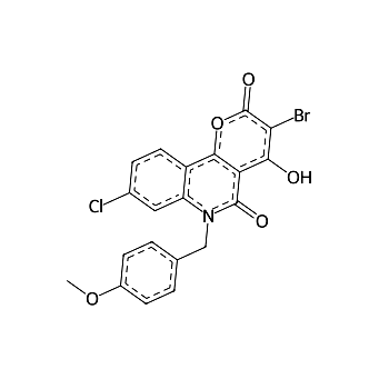 COc1ccc(Cn2c(=O)c3c(O)c(Br)c(=O)oc3c3ccc(Cl)cc32)cc1